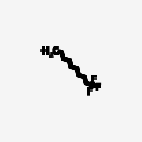 [CH2]CCCCCCCCC(F)(F)F